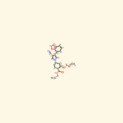 CCOC(=O)c1ccc(-n2cc(C#N)c(-c3cccc4c3OCO4)c2)cc1OCOC